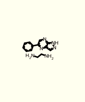 NCCN.c1ccc(-c2cnc3[nH]ncc3n2)cc1